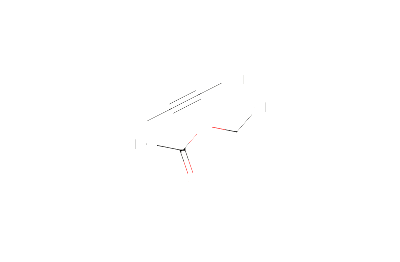 CC#CC.CCOC(C)=O